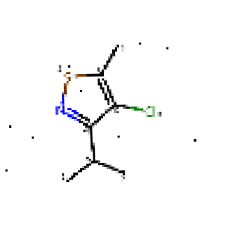 Cc1snc(C(C)C)c1Cl